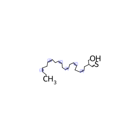 CC/C=C\C/C=C\C/C=C\C/C=C\C/C=C\C/C=C\CC(C=S)CO